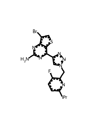 CC(C)c1ccc(F)c(Cn2cc(-c3nc(N)nc4c(Br)csc34)nn2)n1